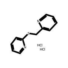 Cl.Cl.c1ccc(CSc2ccccn2)nc1